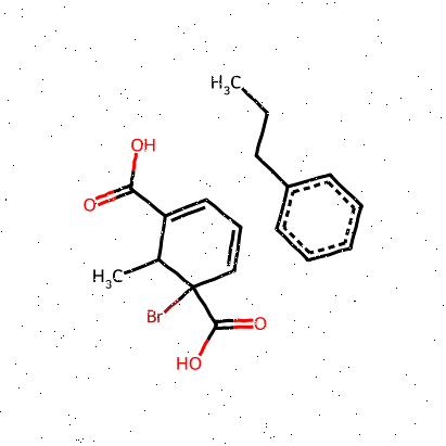 CC1C(C(=O)O)=CC=CC1(Br)C(=O)O.CCCc1ccccc1